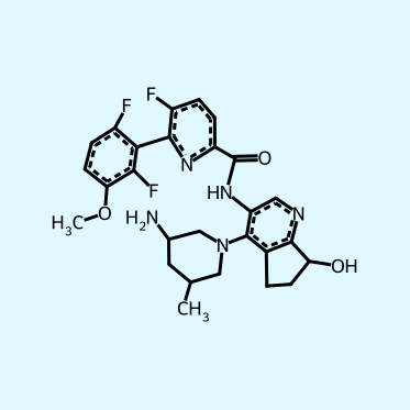 COc1ccc(F)c(-c2nc(C(=O)Nc3cnc4c(c3N3CC(C)CC(N)C3)CCC4O)ccc2F)c1F